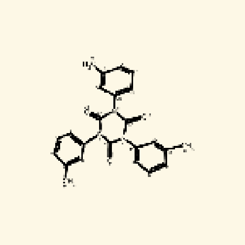 Cc1cccc(-n2c(=O)n(-c3cccc(C)c3)c(=O)n(-c3cccc(C)c3)c2=O)c1